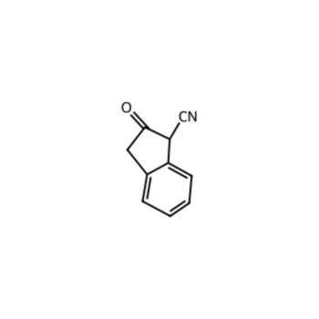 N#CC1C(=O)Cc2ccccc21